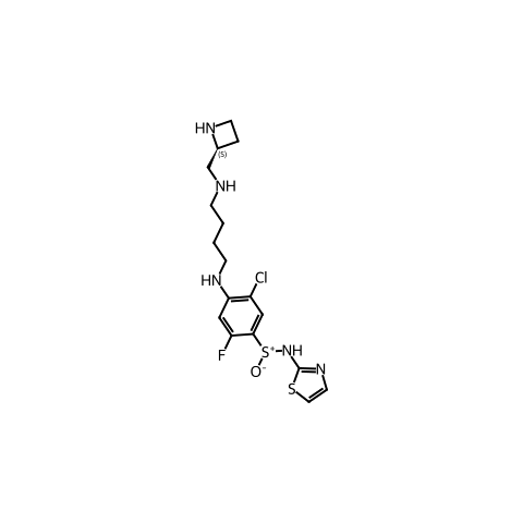 [O-][S+](Nc1nccs1)c1cc(Cl)c(NCCCCNC[C@@H]2CCN2)cc1F